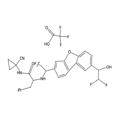 CC(C)CC(NC(c1ccc2c(c1)oc1ccc(C(O)C(F)F)cc12)C(F)(F)F)C(=O)NC1(C#N)CC1.O=C(O)C(F)(F)F